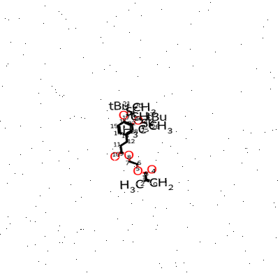 C=C(C)C(=O)OCCOC(=O)CCc1ccc(O[Si](C)(C)C(C)(C)C)c(O[Si](C)(C)C(C)(C)C)c1